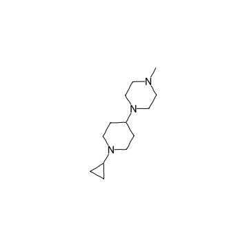 CN1CCN(C2CCN(C3CC3)CC2)CC1